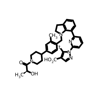 CCc1c(C(=O)O)cnn1-c1cccc(-c2cccc3c2N(Cc2ccc(C4CCN(C(=O)[C@H](C)O)CC4)cc2C)CC3)n1